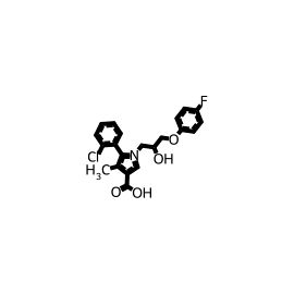 Cc1c(C(=O)O)cn(CC(O)COc2ccc(F)cc2)c1-c1ccccc1Cl